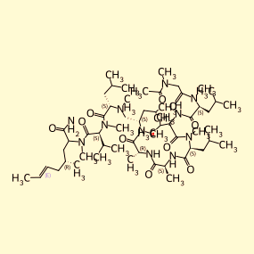 C/C=C/C[C@@H](C)CC(C(N)=O)N(C)C(=O)[C@H](C(C)C)N(C)C(=O)[C@H](CC(C)C)N(C)C[C@H](CC(C)C)N(C)C(=O)[C@@H](C)NC(=O)[C@H](C)NC(=O)[C@H](CC(C)C)N(C)C(=O)C(NC(=O)[C@H](CC(C)C)N(C)C(=O)CN(C)C(C)=O)C(C)C